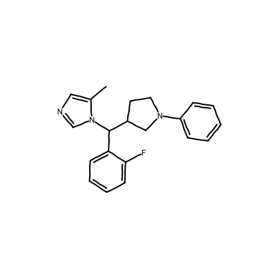 Cc1cncn1C(c1ccccc1F)C1CCN(c2ccccc2)C1